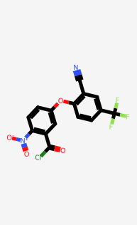 N#Cc1cc(C(F)(F)F)ccc1Oc1ccc([N+](=O)[O-])c(C(=O)Cl)c1